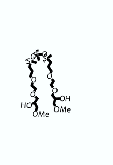 COCC(O)COCCOCCC[Si](C)(C)O[Si](C)(C)O[Si](C)(C)CCCOCCOCC(O)COC